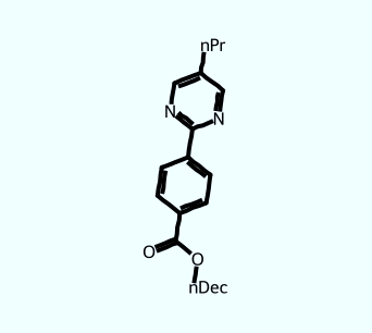 CCCCCCCCCCOC(=O)c1ccc(-c2ncc(CCC)cn2)cc1